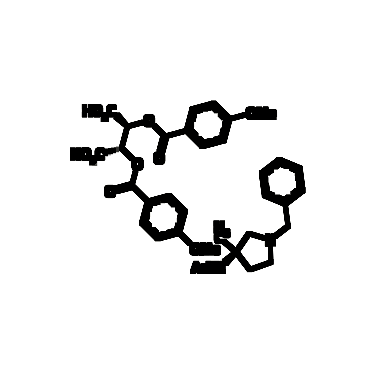 CC(=O)N[C@]1(C)CCN(Cc2ccccc2)C1.COc1ccc(C(=O)O[C@H](C(=O)O)[C@H](OC(=O)c2ccc(OC)cc2)C(=O)O)cc1